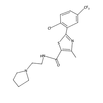 Cc1nc(-c2cc(C(F)(F)F)ccc2Cl)sc1C(=O)NCCN1CCCC1